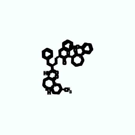 COc1ccccc1N1CCCC[C@H](NC(=O)[C@H](CC[C@H](Cc2ccccc2)C(=O)N[C@H]2CCS[C@H]3CC[C@@H](C(F)(F)F)CN3C2=O)Cc2ccccc2)C1=O